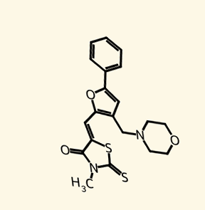 CN1C(=O)/C(=C/c2oc(-c3ccccc3)cc2CN2CCOCC2)SC1=S